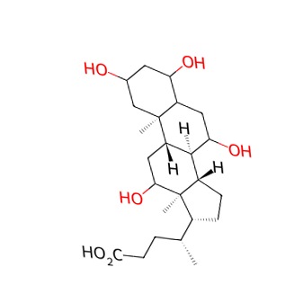 C[C@H](CCC(=O)O)[C@H]1CC[C@H]2[C@@H]3C(O)CC4C(O)CC(O)C[C@]4(C)[C@H]3CC(O)[C@]12C